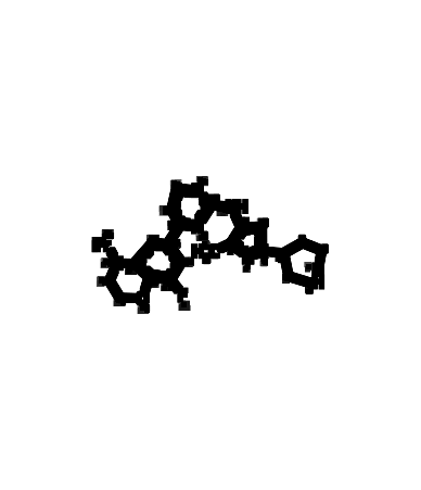 Cc1nn(C2CCNCC2)cc1Nc1nccc(-c2cc(F)c3c(c2)N(C(C)C)CCO3)n1